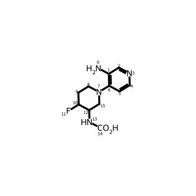 Nc1cnccc1N1CCC(F)C(NC(=O)O)C1